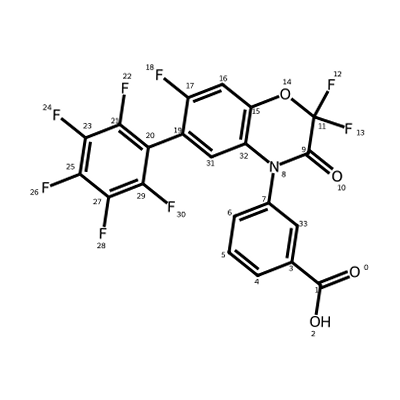 O=C(O)c1cccc(N2C(=O)C(F)(F)Oc3cc(F)c(-c4c(F)c(F)c(F)c(F)c4F)cc32)c1